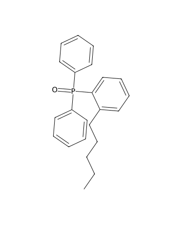 CCCCCc1ccccc1P(=O)(c1ccccc1)c1ccccc1